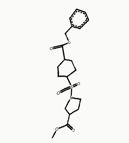 COC(=O)C1CCN(S(=O)(=O)C2CCC(C(=O)OCc3ccccc3)CC2)C1